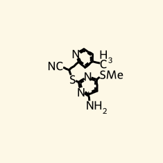 CSc1cc(N)nc(SC(C#N)c2cc(C)ccn2)n1